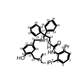 CC(C)c1cccc(C(C)C)c1NC(=O)NCC(NCc1ccc(O)c(CN(C)C)c1)(c1ccccc1)c1ccccc1